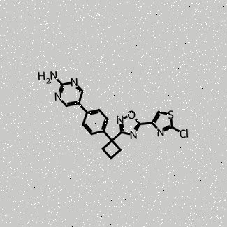 Nc1ncc(-c2ccc(C3(c4noc(-c5csc(Cl)n5)n4)CCC3)cc2)cn1